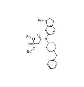 CCOP(=O)(CC(=O)N(c1ccc2c(c1)N(C(C)=O)CC2)C1CCN(Cc2ccccc2)CC1)OCC